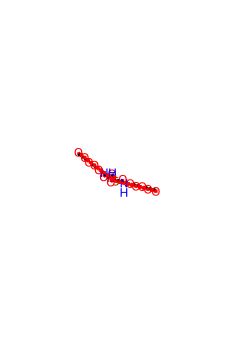 O=CCCOCCOCCOCCOCCNC(=O)CCSC1CC(=O)N(CCC(=O)NCCOCCOCCOCCOCCC=O)C1=O